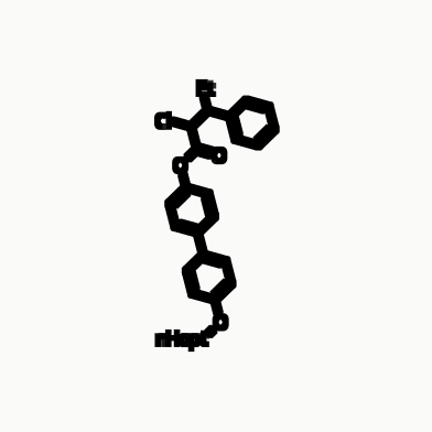 CCCCCCCOc1ccc(-c2ccc(OC(=O)C(Cl)C(CC)c3ccccc3)cc2)cc1